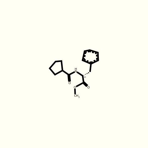 COC(=O)[C@@H](Cc1ccccc1)NC(=O)C1CCCC1